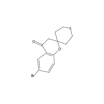 O=C1CC2(CCSCC2)Oc2ccc(Br)cc21